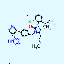 CCCCc1cn(-c2c(Br)cccc2C(C)C)c(=O)n1Cc1ccc(-c2cnccc2-c2nnn[nH]2)cc1